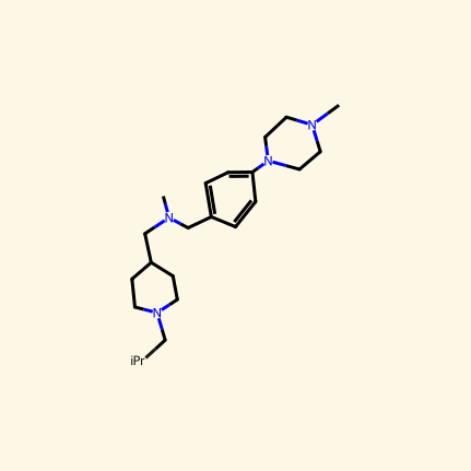 CC(C)CN1CCC(CN(C)Cc2ccc(N3CCN(C)CC3)cc2)CC1